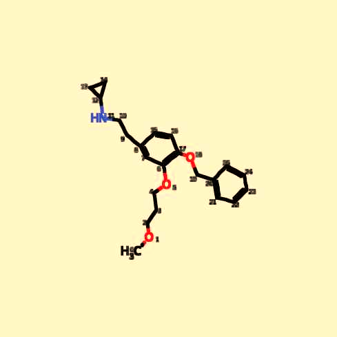 COCCCOc1cc(CCNC2CC2)ccc1OCc1ccccc1